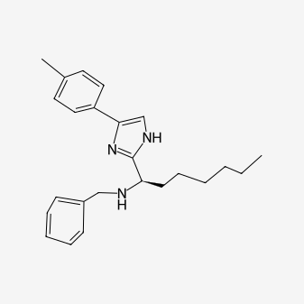 CCCCCC[C@@H](NCc1ccccc1)c1nc(-c2ccc(C)cc2)c[nH]1